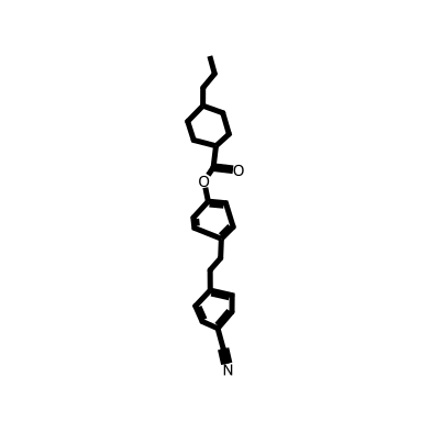 CCCC1CCC(C(=O)Oc2ccc(CCc3ccc(C#N)cc3)cc2)CC1